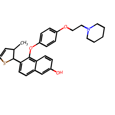 CC1C=CSC1c1ccc2cc(O)ccc2c1Oc1ccc(OCCN2CCCCC2)cc1